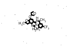 Cc1nc(NC(C)c2cc(N)cc(C(F)(F)F)c2)c2cc(O[C@H]3CCOC3)c3c(c2n1)CC(C)O3